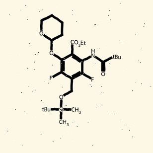 CCOC(=O)c1c(NC(=O)C(C)(C)C)c(F)c(CO[Si](C)(C)C(C)(C)C)c(F)c1OC1CCCCO1